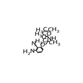 CC(C)(COc1cccc(N)c1C#N)NC(=O)OC(C)(C)C